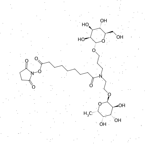 C[C@@H]1O[C@@H](OCCN(CCCO[C@H]2O[C@H](CO)[C@@H](O)[C@H](O)[C@@H]2O)C(=O)CCCCCCCC(=O)ON2C(=O)CCC2=O)[C@@H](O)[C@H](O)[C@@H]1O